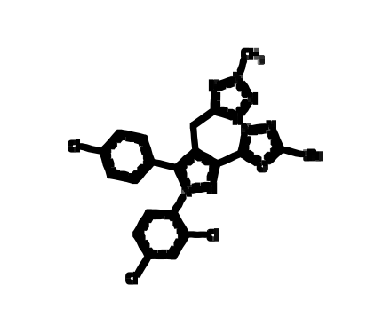 Cn1nnc(Cc2c(-c3nnc(C(C)(C)C)o3)nn(-c3ccc(Cl)cc3Cl)c2-c2ccc(Cl)cc2)n1